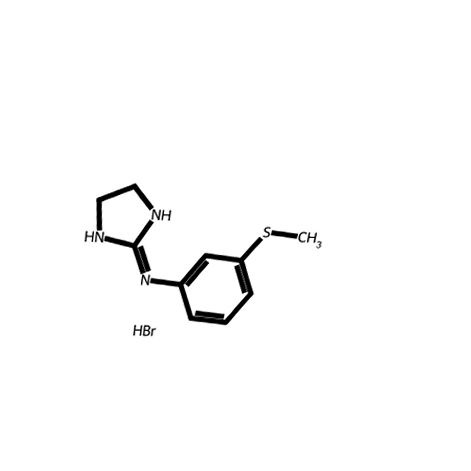 Br.CSc1cccc(N=C2NCCN2)c1